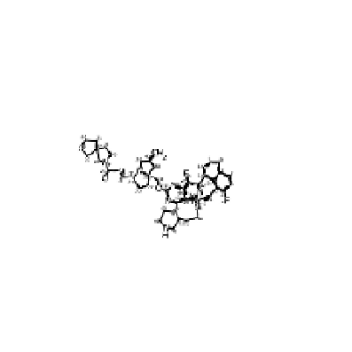 C#Cc1c(F)ccc2cccc(-c3nc4c5c(nc(OC[C@@]67CC[C@@H](COC(=O)N8CCC9(CCOC9)C8)N6CC(=C)C7)nc5c3F)N3CCNCC3CCO4)c12